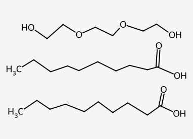 CCCCCCCCCC(=O)O.CCCCCCCCCC(=O)O.OCCOCCOCCO